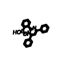 OB(O)c1ccccc1-c1nc(-c2ccccc2)cc(-c2ccccc2)n1